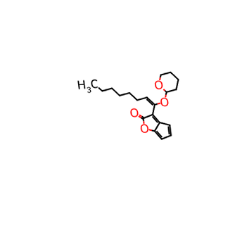 CCCCCC/C=C(/OC1CCCCO1)C1=C2C=CC=C2OC1=O